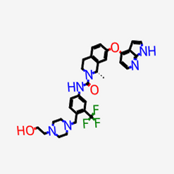 C[C@H]1c2cc(Oc3ccnc4[nH]ccc34)ccc2CCN1C(=O)Nc1ccc(CN2CCN(CCO)CC2)c(C(F)(F)F)c1